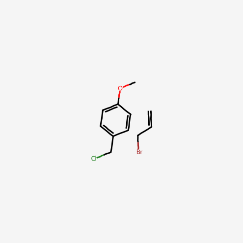 C=CCBr.COc1ccc(CCl)cc1